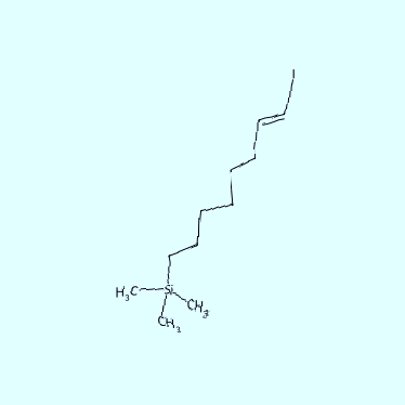 C[Si](C)(C)CCCCCCC=CI